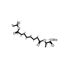 COC(=O)C(C)OC(=O)CCCCCCC(=O)OC(C)C(C)=O